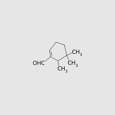 CC1C(C=O)=CCCC1(C)C